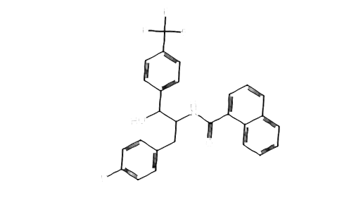 O=C(NC(Cc1ccc(F)cc1)C(O)c1ccc(C(F)(F)F)cc1)c1cccc2ccccc12